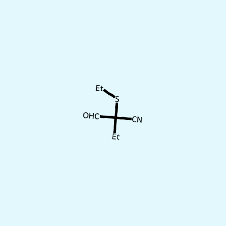 CCSC(C#N)(C=O)CC